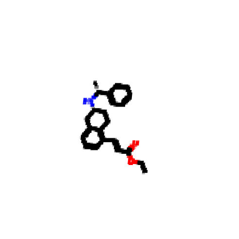 CCOC(=O)/C=C/c1cccc2c1CC[C@@H](N[C@H](C)c1ccccc1)C2